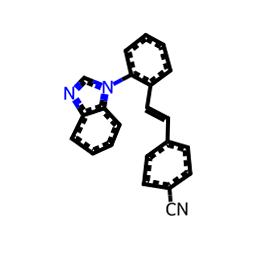 N#Cc1ccc(/C=C/c2ccccc2-n2cnc3ccccc32)cc1